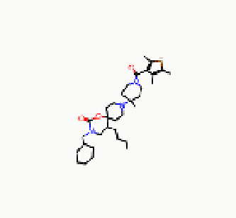 CCCCC1CN(CC2CCCCC2)C(=O)OC12CCN(C1(C)CCN(C(=O)c3c(C)sc(C)c3C)CC1)CC2